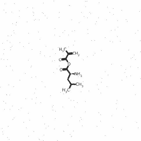 C=C(C)C(=O)OC(=O)[C@@H](N)CC(C)C